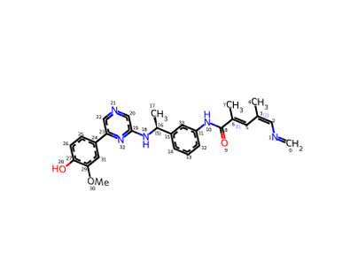 C=N/C=C(C)\C=C(/C)C(=O)Nc1cccc([C@H](C)Nc2cncc(-c3ccc(O)c(OC)c3)n2)c1